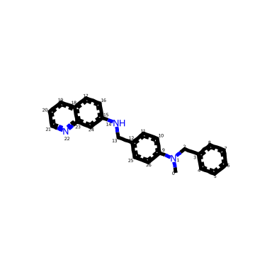 CN(Cc1ccccc1)c1ccc(CNc2ccc3cccnc3c2)cc1